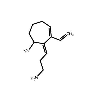 C=CC1=CCCCC(CCC)/C1=C\CCN